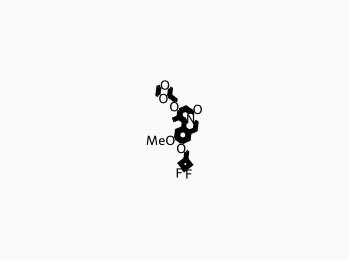 COc1cc2c(cc1OCC1CC(F)(F)C1)CCn1c-2c(C)c(OCC2COCCO2)cc1=O